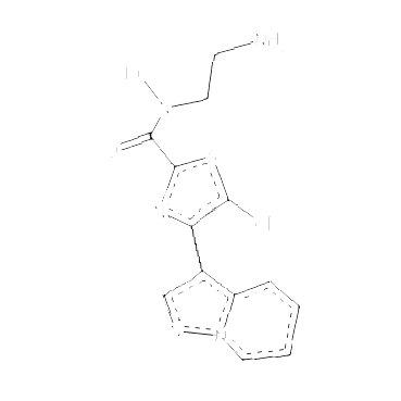 CCN(CCN)C(=O)c1nc(-c2cnn3ccccc23)c(Cl)s1